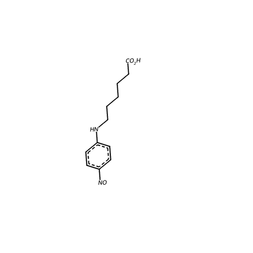 O=Nc1ccc(NCCCCCC(=O)O)cc1